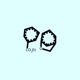 CCOC(=O)c1ccccc1.c1cc2cc(c1)OC2